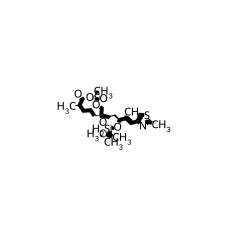 C/C(=C\c1csc(C)n1)[C@H](C[C@@H]1O[C@@]1(CCC[C@H](C)C=O)COS(C)(=O)=O)O[SiH2]C(C)(C)C